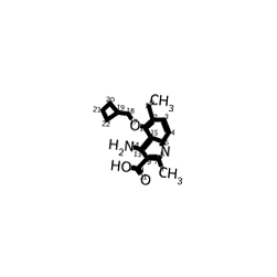 CCc1ccc2nc(C)c(C(=O)O)c(N)c2c1OCC1CCC1